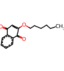 CCCCCCOC1=CC(=O)c2ccccc2C1=O